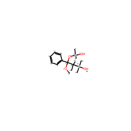 COC(O[Si](C)(C)O)(c1ccccc1)C(C)(C)[Si](C)(C)O